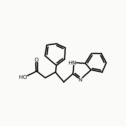 O=C(O)CC(Cc1nc2ccccc2[nH]1)c1ccccc1